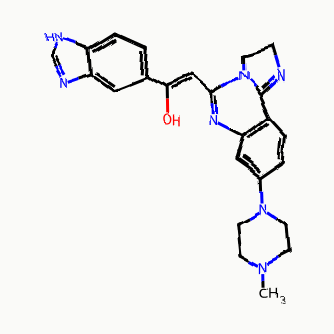 CN1CCN(c2ccc3c(c2)N=C(/C=C(\O)c2ccc4[nH]cnc4c2)N2CCN=C32)CC1